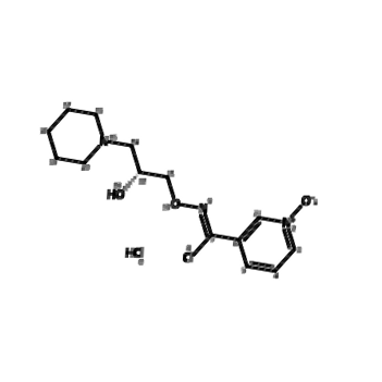 Cl.[O-][n+]1cccc(C(Cl)=NOC[C@H](O)CN2CCCCC2)c1